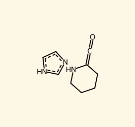 O=C=C1CCCCN1.c1c[nH]cn1